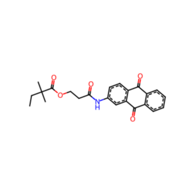 CCC(C)(C)C(=O)OCCC(=O)Nc1ccc2c(c1)C(=O)c1ccccc1C2=O